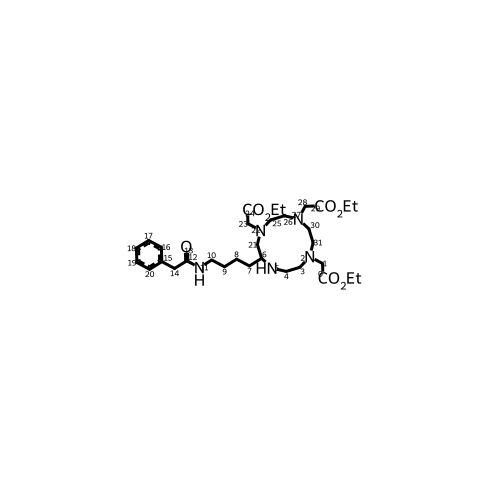 CCOC(=O)CN1CCNC(CCCCNC(=O)Cc2ccccc2)CN(CC(=O)OCC)CCN(CC(=O)OCC)CC1